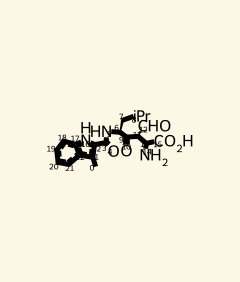 Cc1c(C(=O)N[C@@H](CC(C)C)C(=O)[C@H](C=O)C(N)C(=O)O)[nH]c2ccccc12